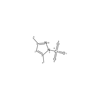 Cc1cc(C)[n]([Cr](=[O])(=[O])=[O])n1